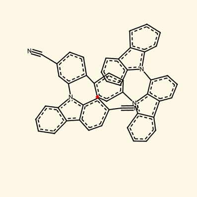 N#Cc1ccc(-c2ccc(-n3c4ccccc4c4cccc(-n5c6ccccc6c6ccccc65)c43)cc2)c(-n2c3ccccc3c3ccc(C#N)cc32)c1